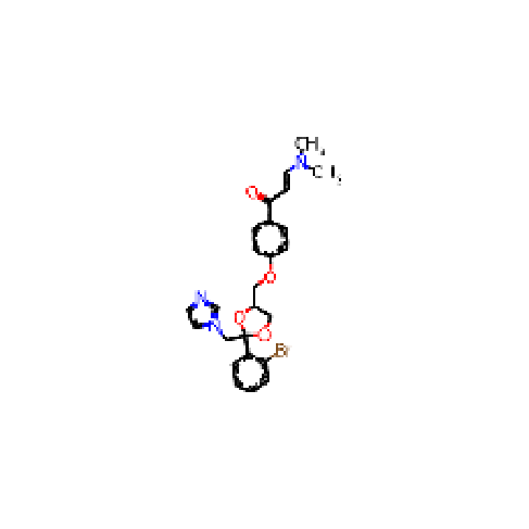 CN(C)C=CC(=O)c1ccc(OCC2COC(Cn3ccnc3)(c3ccccc3Br)O2)cc1